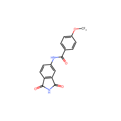 O=C(Nc1ccc2c(c1)C(=O)NC2=O)c1ccc(OC(F)(F)F)cc1